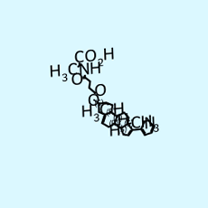 CC(NC(=O)CCC(=O)O[C@H]1CC[C@@]2(C)C(=CC[C@@H]3[C@@H]2CC[C@]2(C)C(c4cccnc4)=CC[C@@H]32)C1)C(=O)O